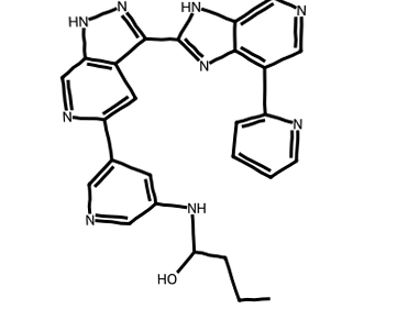 CCCC(O)Nc1cncc(-c2cc3c(-c4nc5c(-c6ccccn6)cncc5[nH]4)n[nH]c3cn2)c1